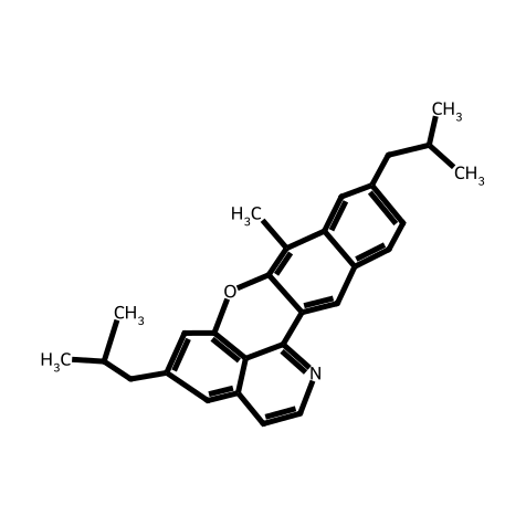 Cc1c2c(cc3ccc(CC(C)C)cc13)-c1nccc3cc(CC(C)C)cc(c13)O2